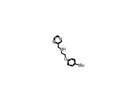 CC(C)(C)c1ccc(OCCNCc2cnccn2)cc1